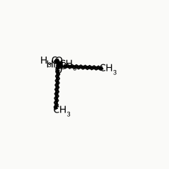 CCCCCCCCCCCCCCCCCCOCC(CC)(COCCCCCCCCCCCCCCCCCC)NC(C)=O